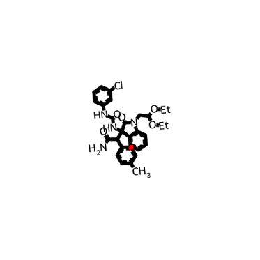 CCOC(CN1C(=O)C(NC(=O)Nc2cccc(Cl)c2)(C(C(N)=O)c2ccc(C)cc2)c2ccccc21)OCC